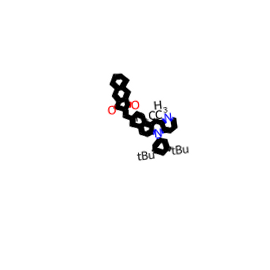 CC(C)(C)c1cc(N2c3cccnc3C(C)(C)c3c2ccc2cc(C=C4C(=O)c5cc6ccccc6cc5C4=O)ccc32)cc(C(C)(C)C)c1